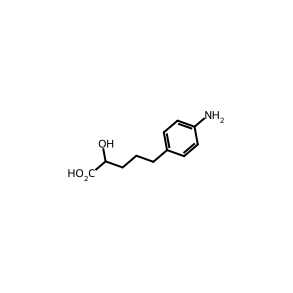 Nc1ccc(CCCC(O)C(=O)O)cc1